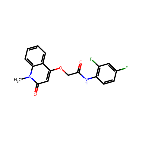 Cn1c(=O)cc(OCC(=O)Nc2ccc(F)cc2F)c2ccccc21